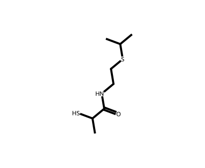 CC(C)SCCNC(=O)C(C)S